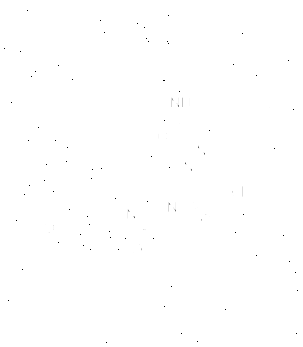 CNC(=O)c1cc(C2CC2)cc2c(Cl)c(C(=O)N3CCN(C4CCC(O)CC4)C(=O)C3)nn12